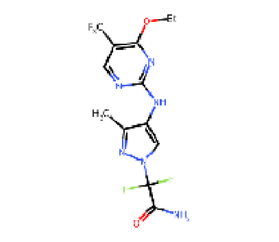 CCOc1nc(Nc2cn(C(F)(F)C(N)=O)nc2C)ncc1C(F)(F)F